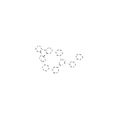 c1ccc(-c2cccc(-c3nc(-c4cccc(-c5ccccc5)c4)nc(-c4cccc(-c5ccc6c7ccccc7c7ccccc7c6c5)c4)n3)c2)cc1